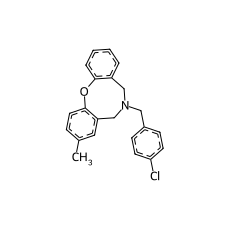 Cc1ccc2c(c1)CN(Cc1ccc(Cl)cc1)Cc1ccccc1O2